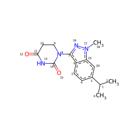 CC(C)c1ccc2c(N3CCC(=O)NC3=O)nn(C)c2c1